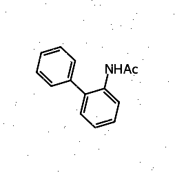 [CH2]C(=O)Nc1ccccc1-c1ccccc1